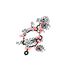 C=C1C(C)C[C@H](O)CC[C@@H]2OC(CCC(OC(=O)c3ccccc3)/C=C/C(O[Si](C)(C)C(C)(C)C)C3O[C@H]4CCC(CC(=O)CC5C(CC1OC(C)=O)OC(CC(CO[Si](C)(C)C(C)(C)C)O[Si](C)(C)C(C)(C)C)[C@@H]5OC)OC4[C@H](O)C3O[Si](C)(C)C(C)(C)C)CC2=C